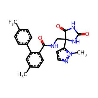 Cc1ccc(C(=O)NCC2(c3ccnn3C)NC(=O)NC2=O)c(-c2ccc(C(F)(F)F)cc2)c1